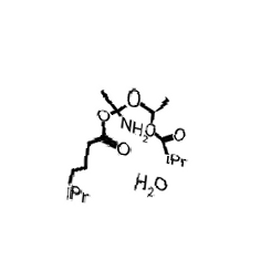 CC(C)CCCC(=O)OC(C)(N)O[C@@H](C)OC(=O)C(C)C.O